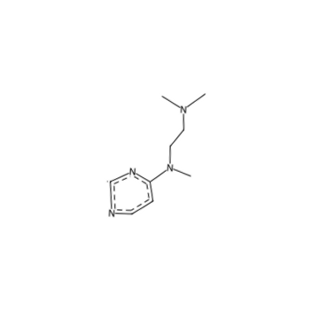 CN(C)CCN(C)c1ccn[c]n1